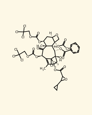 CC(=O)O[C@@]12CO[C@@H]1C[C@H](OC(=O)OCC(Cl)(Cl)Cl)[C@@]1(C)C(=O)[C@H](OC(=O)OCC(Cl)(Cl)Cl)C3=C(C)[C@@H](OC(=O)C4OC4C4CC4)C[C@@](O)([C@@H](OC(=O)c4ccccc4)[C@H]21)C3(C)C